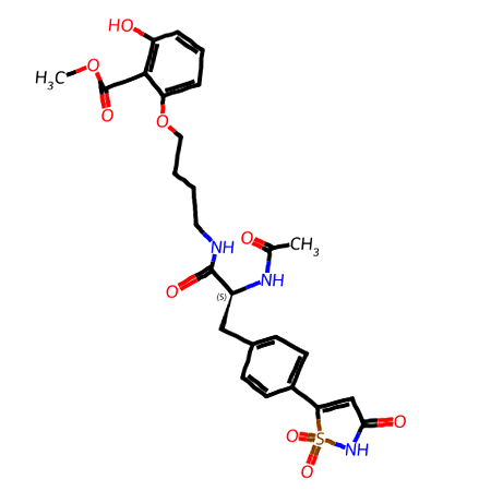 COC(=O)c1c(O)cccc1OCCCCNC(=O)[C@H](Cc1ccc(C2=CC(=O)NS2(=O)=O)cc1)NC(C)=O